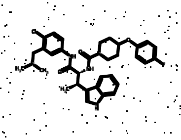 C[C@H](c1c[nH]c2ccccc12)[C@@H](NC(=O)N1CCC(Oc2ccc(F)cc2)CC1)C(=O)Nc1ccc(Cl)c(CN(C)C)c1